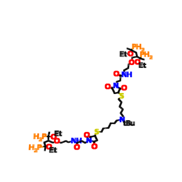 CCOC(C)(P)CC(COCCCNC(=O)CCN1C(=O)CC(SCCCCCCN(CCCCCCSC2CC(=O)N(CCC(=O)NCCCOCC(CC(C)(P)OCC)C(C)(P)OCC)C2=O)C(C)(C)C)C1=O)C(C)(P)OCC